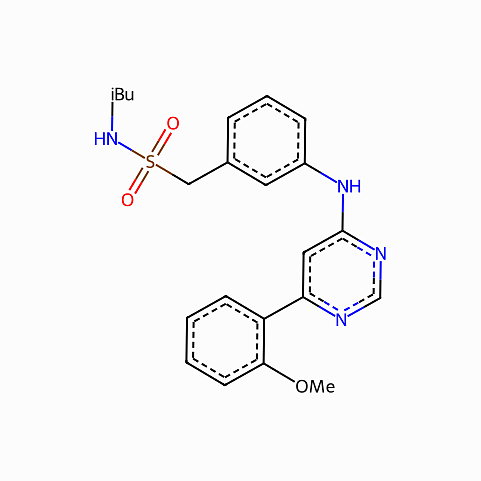 CCC(C)NS(=O)(=O)Cc1cccc(Nc2cc(-c3ccccc3OC)ncn2)c1